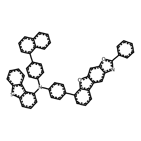 c1ccc(-c2nc3cc4c(cc3o2)oc2c(-c3ccc(N(c5ccc(-c6cccc7ccccc67)cc5)c5cccc6sc7ccccc7c56)cc3)cccc24)cc1